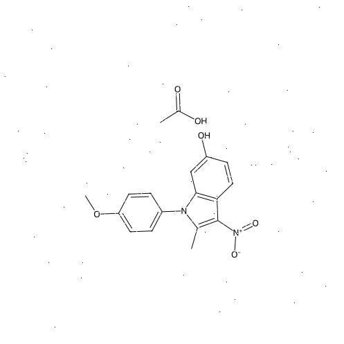 CC(=O)O.COc1ccc(-n2c(C)c([N+](=O)[O-])c3ccc(O)cc32)cc1